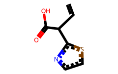 C=CC(C(=O)O)c1n[c]cs1